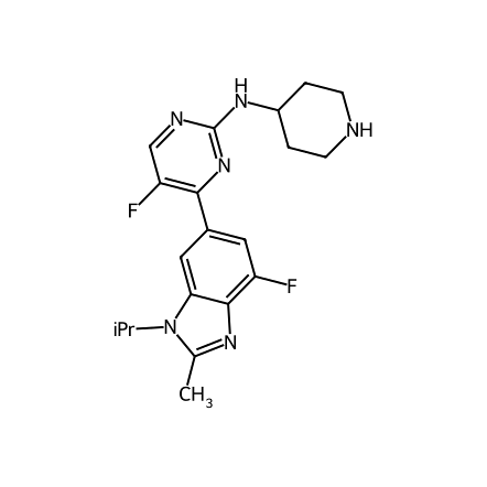 Cc1nc2c(F)cc(-c3nc(NC4CCNCC4)ncc3F)cc2n1C(C)C